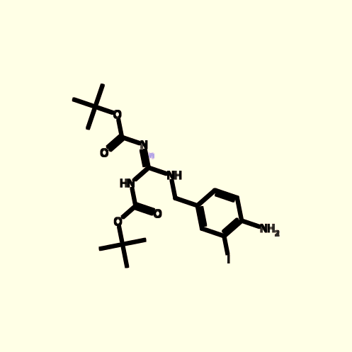 CC(C)(C)OC(=O)/N=C(/NCc1ccc(N)c(I)c1)NC(=O)OC(C)(C)C